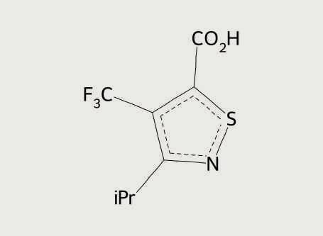 CC(C)c1nsc(C(=O)O)c1C(F)(F)F